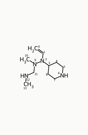 C=CN(C1CCNCC1)N(C)CNC